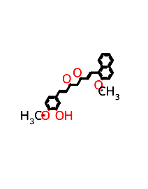 COc1ccc(C=CC(=O)CC(=O)C=Cc2c(OC)ccc3ccccc23)cc1O